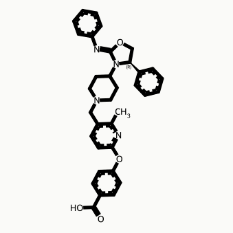 Cc1nc(Oc2ccc(C(=O)O)cc2)ccc1CN1CCC(N2C(=Nc3ccccc3)OC[C@H]2c2ccccc2)CC1